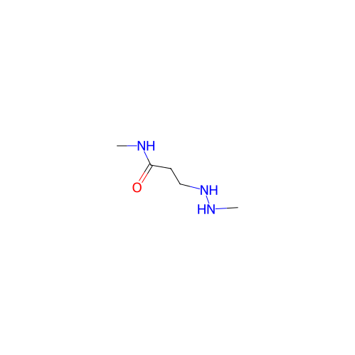 CNNCCC(=O)NC